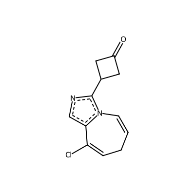 O=C1CC(c2ncc3n2C=CCC=C3Cl)C1